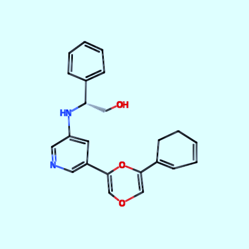 OC[C@H](Nc1cncc(C2=COC=C(C3=CC=CCC3)O2)c1)c1ccccc1